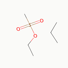 CCC.CCOS(C)(=O)=O